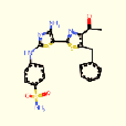 CC(=O)c1nc(-c2sc(Nc3ccc(S(N)(=O)=O)cc3)nc2N)sc1Cc1ccccc1